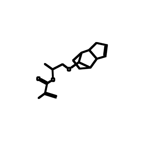 C=C(C)C(=O)OC(C)COC1C2CCC1C1CC=CC12